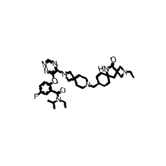 CCN1CC2(C1)CC1(CCC(CN3CCC4(CC3)CN(c3ncnnc3Oc3ccc(F)cc3C(=O)N(CC)C(C)C)C4)CC1)NC2=O